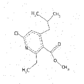 CCc1nc(Cl)cc(CC(C)C)c1C(=O)OC